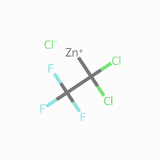 FC(F)(F)[C](Cl)(Cl)[Zn+].[Cl-]